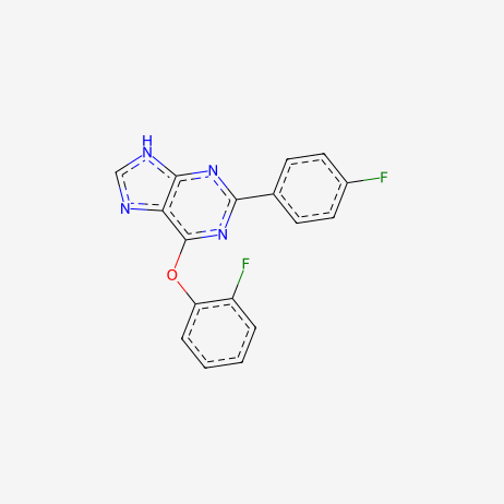 Fc1ccc(-c2nc(Oc3ccccc3F)c3nc[nH]c3n2)cc1